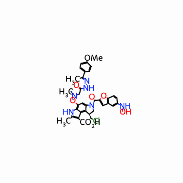 COc1ccc(/C(C)=N/NC(=O)CN(C)Oc2cc3c(c4c(C(=O)O)c(C)[nH]c24)[C@H](CCl)CN3C(=O)c2cc3cc(NO)ccc3o2)cc1